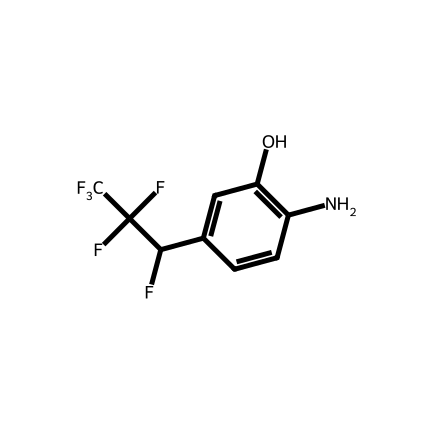 Nc1ccc(C(F)C(F)(F)C(F)(F)F)cc1O